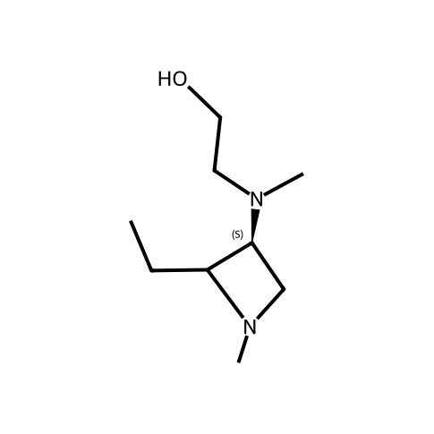 CCC1[C@@H](N(C)CCO)CN1C